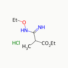 CCONC(=N)C(C)C(=O)OCC.Cl